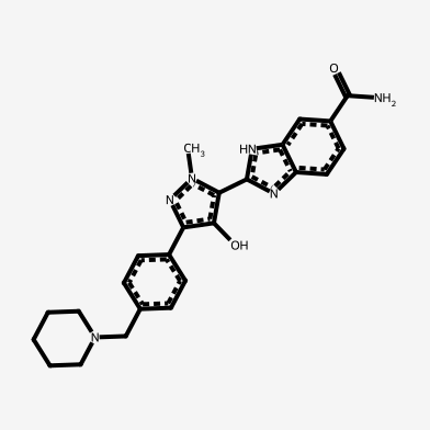 Cn1nc(-c2ccc(CN3CCCCC3)cc2)c(O)c1-c1nc2ccc(C(N)=O)cc2[nH]1